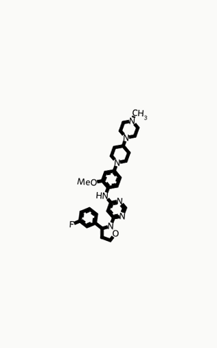 COc1cc(N2CCC(N3CCN(C)CC3)CC2)ccc1Nc1cc(N2OCCC2c2cccc(F)c2)ncn1